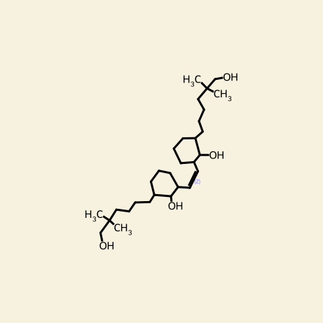 CC(C)(CO)CCCCC1CCCC(/C=C\C2CCCC(CCCCC(C)(C)CO)C2O)C1O